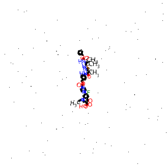 CCn1cc(C(=O)O)c(=O)c2cc(F)c(N3CCN(C(=O)OCc4ccc(NC(=O)[C@@H](C)c5nnc(C(NC(=O)OCc6ccccc6)C(C)C)s5)cc4)CC3)cc21